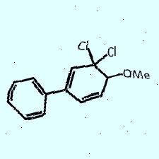 COC1C=CC(c2ccccc2)=CC1(Cl)Cl